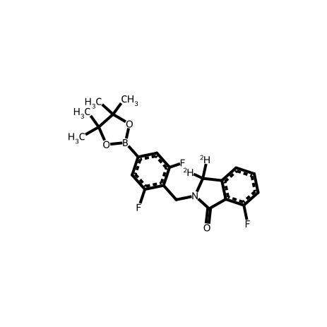 [2H]C1([2H])c2cccc(F)c2C(=O)N1Cc1c(F)cc(B2OC(C)(C)C(C)(C)O2)cc1F